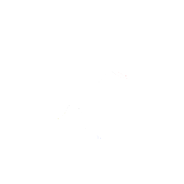 CCOC(=O)CC(C)c1cscc1N=O